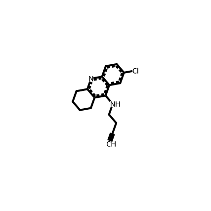 C#CCCNc1c2c(nc3ccc(Cl)cc13)CCCC2